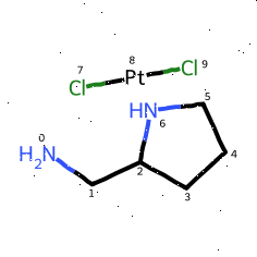 NCC1CCCN1.[Cl][Pt][Cl]